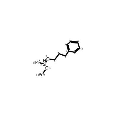 CCCO[SiH](CCC)OCCCc1ccccc1